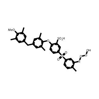 COc1c(C)cc(Cc2cc(C)c(Oc3ccc(S(=O)(=O)c4ccc(C)c(SOOO)c4)cc3S(=O)(=O)O)c(C)c2)cc1C